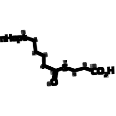 CCCCCCCCCCCC(=O)SCCC(=O)O